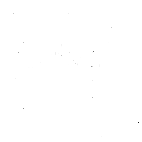 COCC(=O)SC12C[C@](C)(C#N)[C@H](c3ccc4c(c3)OCO4)N1C(=O)[C@](C)(SC(=O)COC)N(C)C2=O